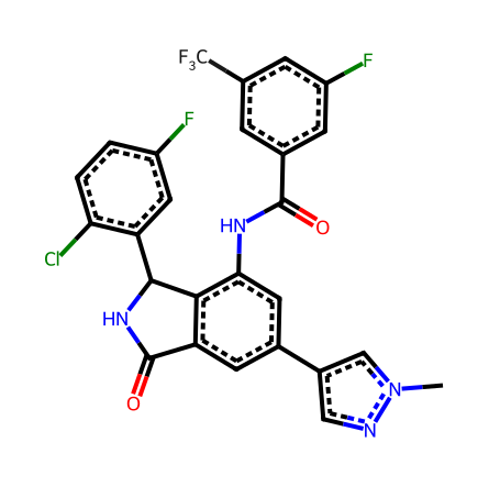 Cn1cc(-c2cc(NC(=O)c3cc(F)cc(C(F)(F)F)c3)c3c(c2)C(=O)NC3c2cc(F)ccc2Cl)cn1